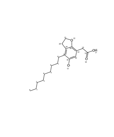 CCCCCCCCCc1c([O])cc(CC(=O)O)c2c1CCO2